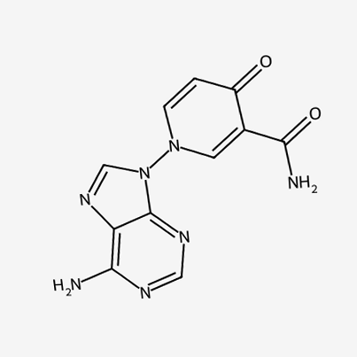 NC(=O)c1cn(-n2cnc3c(N)ncnc32)ccc1=O